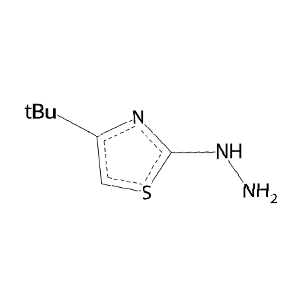 CC(C)(C)c1csc(NN)n1